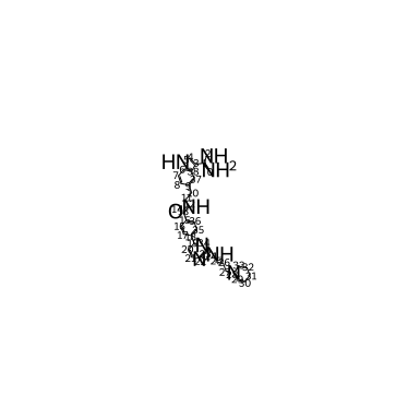 N=C(N)c1c[nH]c2ccc(CCNC(=O)c3ccc(-c4ccnc(NCCCN5CCCCC5)n4)cc3)cc12